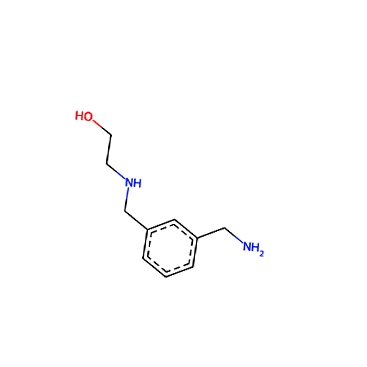 NCc1cccc(CNCCO)c1